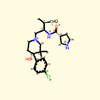 C[C@@H](C=O)C(CN1CC[C@](O)(c2ccc(Cl)cc2)C(C)(C)C1)NC(=O)[C@@H]1CCNC1